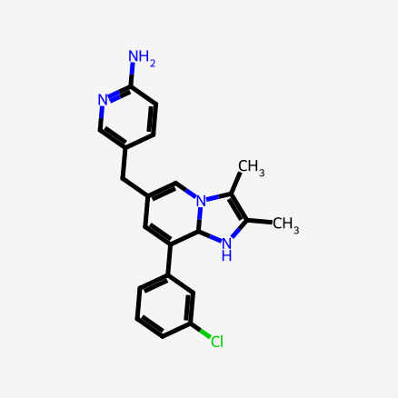 CC1=C(C)N2C=C(Cc3ccc(N)nc3)C=C(c3cccc(Cl)c3)C2N1